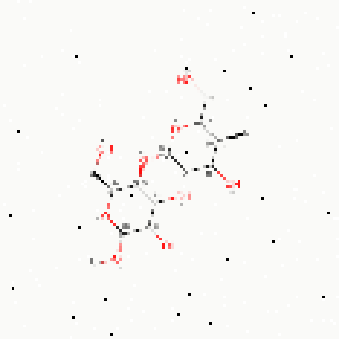 CO[C@@H]1O[C@@H](CO)[C@@H](O[C@H]2CC(O)[C@H](C)C(CO)O2)C(O)C1O